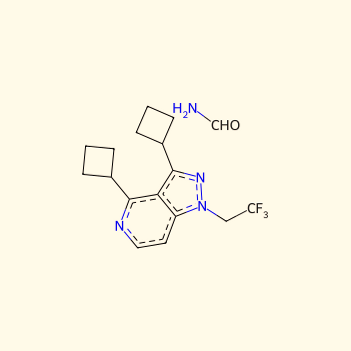 FC(F)(F)Cn1nc(C2CCC2)c2c(C3CCC3)nccc21.NC=O